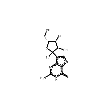 CC[C@@]1(n2cnc3c(=O)[nH]c(N)nc32)O[C@H](CO)[C@@H](O)[C@H]1O